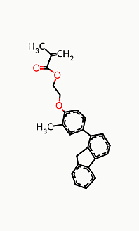 C=C(C)C(=O)OCCOc1ccc(-c2cccc3c2Cc2ccccc2-3)cc1C